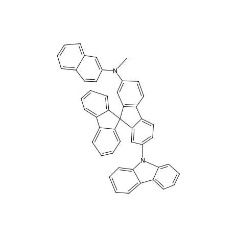 CN(c1ccc2c(c1)C1(c3ccccc3-c3ccccc31)c1cc(-n3c4ccccc4c4ccccc43)ccc1-2)c1ccc2ccccc2c1